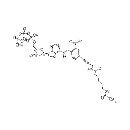 CC(=O)NCCCCCC(=O)NCC#Cc1ccc(CNc2ncnc3c2ncn3[C@H]2C[C@@H](O)[C@@H](COP(=O)(O)OP(=O)(O)OP(=O)(O)O)O2)c([N+](=O)[O-])c1